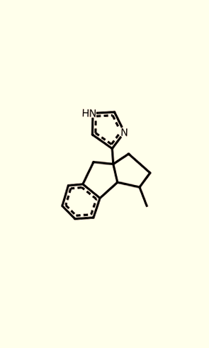 CC1CCC2(c3c[nH]cn3)Cc3ccccc3C12